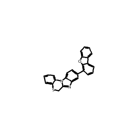 c1ccc2c(c1)SCc1nc3cc(-c4cccc5c4oc4ccccc45)ccc3n1-2